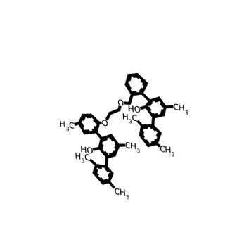 Cc1ccc(C)c(-c2cc(C)cc(-c3ccccc3COCCOc3ccc(C)cc3-c3cc(C)cc(-c4cc(C)ccc4C)c3O)c2O)c1